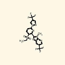 CCS(=O)(=O)c1ccc(-n2cc(C(F)(F)F)cn2)nc1-c1nc2cc(C(F)(F)F)cnc2n1C